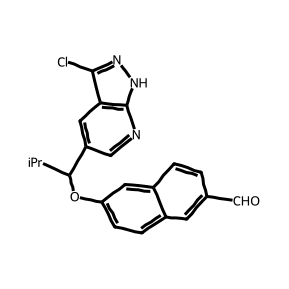 CC(C)C(Oc1ccc2cc(C=O)ccc2c1)c1cnc2[nH]nc(Cl)c2c1